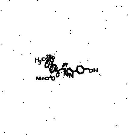 COC(=O)[C@@H]1C[C@@H](O[Si](C)(C)C(C)(C)C)CN1C(=O)[C@H](C(C)C)n1cc(C2CCC(CO)CC2)nn1